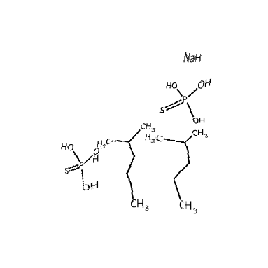 CCCC(C)C.CCCC(C)C.OP(O)(O)=S.OP(O)(O)=S.[NaH]